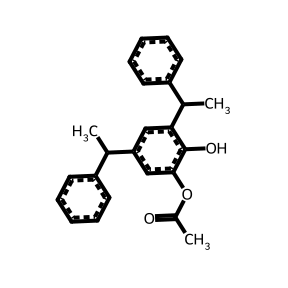 CC(=O)Oc1cc(C(C)c2ccccc2)cc(C(C)c2ccccc2)c1O